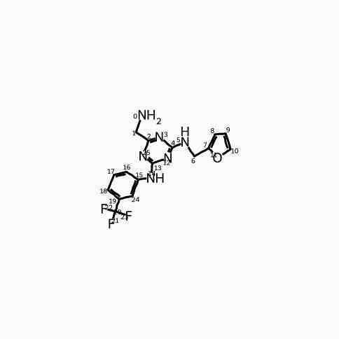 NCc1nc(NCc2ccco2)nc(Nc2cccc(C(F)(F)F)c2)n1